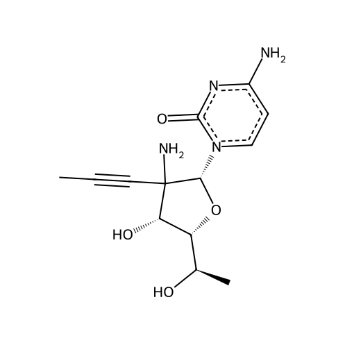 CC#CC1(N)[C@@H](O)[C@@H]([C@@H](C)O)O[C@H]1n1ccc(N)nc1=O